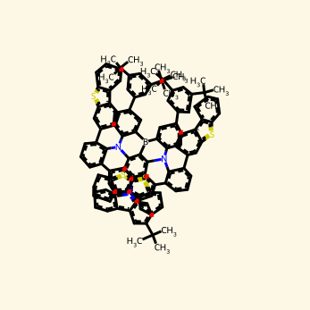 CC(C)(C)c1cc(-c2ccc3c(c2)B2c4cc(-c5cc(C(C)(C)C)cc(C(C)(C)C)c5)ccc4N(c4c(-c5ccc6c(c5)sc5ccccc56)cccc4-c4ccc5c(c4)sc4ccccc45)c4cc(-n5c6ccccc6c6cc(C(C)(C)C)ccc65)cc(c42)N3c2c(-c3ccc4c(c3)sc3ccccc34)cccc2-c2ccc3c(c2)sc2ccccc23)cc(C(C)(C)C)c1